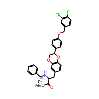 CC[C@@H](NC(Cc1ccc2c(c1)OCC(c1ccc(OCc3ccc(Cl)c(Cl)c3)cc1)O2)C(=O)OC)c1ccccc1